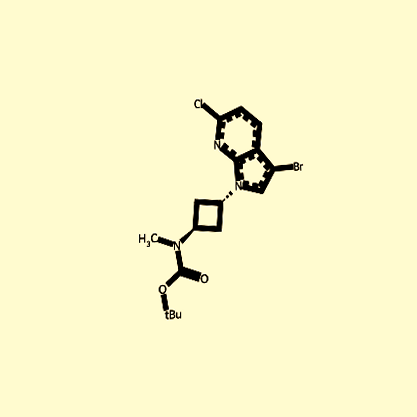 CN(C(=O)OC(C)(C)C)[C@H]1C[C@H](n2cc(Br)c3ccc(Cl)nc32)C1